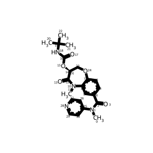 CN(C(=O)c1ccc2c(c1)N(C)C(=O)[C@@H](OC(=O)NC(C)(C)C)CO2)c1ccncc1